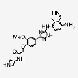 COc1cc(-c2nc(Nc3ccc(N)c(C=N)c3C)n(C)n2)ccc1OCC(=O)NC1CNC1